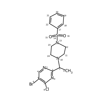 CC(c1ncc(Br)c(Cl)n1)N1CCN(S(=O)(=O)c2ccccc2)CC1